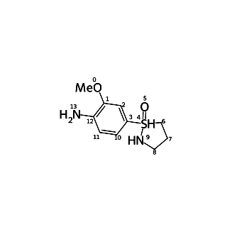 COc1cc([SH]2(=O)CCCN2)ccc1N